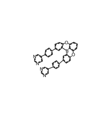 c1cc2c3c(c1)Oc1ccc(-c4ccc(-c5cncnc5)cc4)cc1B3c1cc(-c3ccc(-c4cncnc4)cc3)ccc1O2